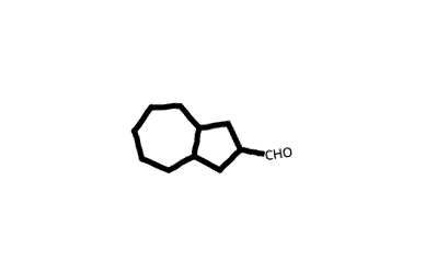 O=CC1CC2CCCCCC2C1